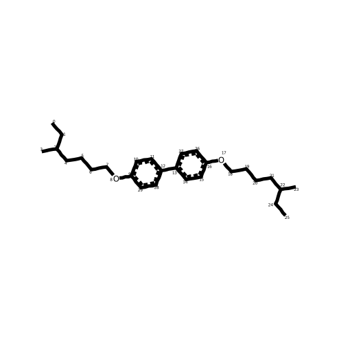 CCC(C)CCCCOc1ccc(-c2ccc(OCCCCC(C)CC)cc2)cc1